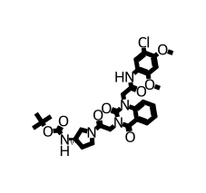 COc1cc(OC)c(NC(=O)Cn2c(=O)n(CC(=O)N3CC[C@@H](NC(=O)OC(C)(C)C)C3)c(=O)c3ccccc32)cc1Cl